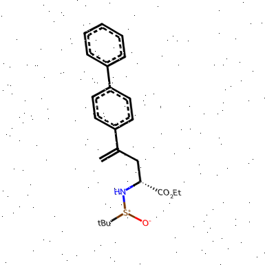 C=C(C[C@@H](N[S+]([O-])C(C)(C)C)C(=O)OCC)c1ccc(-c2ccccc2)cc1